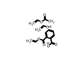 C=CO.C=COC(=O)c1ccccc1C(=O)O.C=COC(C)=O